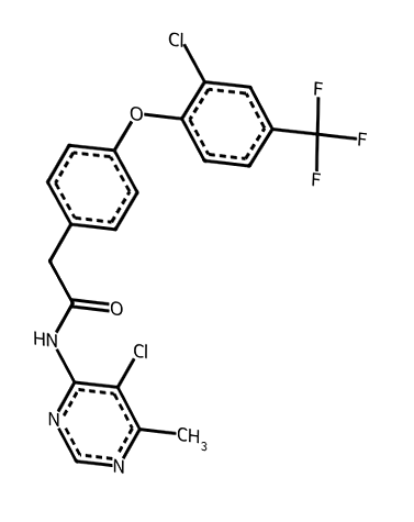 Cc1ncnc(NC(=O)Cc2ccc(Oc3ccc(C(F)(F)F)cc3Cl)cc2)c1Cl